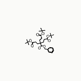 CC(C)(C)OC(=O)CCC(CCC(=O)OC(C)(C)C)(CCC(=O)OC(C)(C)C)C(=O)OCc1ccccc1